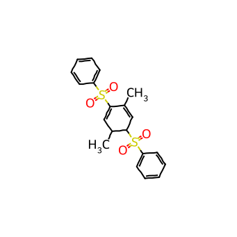 CC1=CC(S(=O)(=O)c2ccccc2)C(C)C=C1S(=O)(=O)c1ccccc1